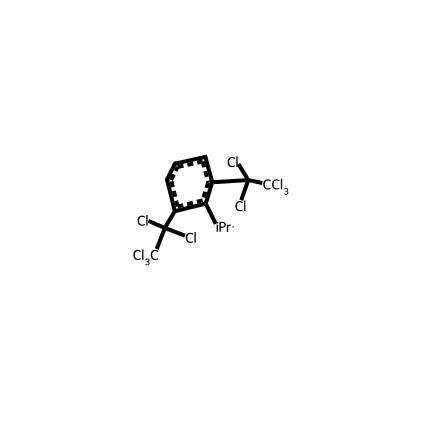 C[C](C)c1c(C(Cl)(Cl)C(Cl)(Cl)Cl)cccc1C(Cl)(Cl)C(Cl)(Cl)Cl